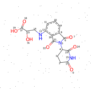 O=C1CCC(N2C(=O)c3cccc(NCC(O)C(=O)O)c3C2=O)C(=O)N1